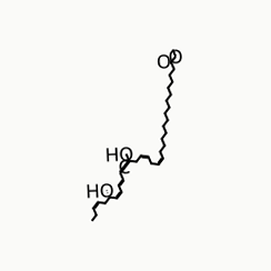 CC/C=C\C[C@H](O)/C=C\C=C\C=C=C(O)C/C=C\C/C=C\CCCCCCCCCCCCCCC(=O)OC